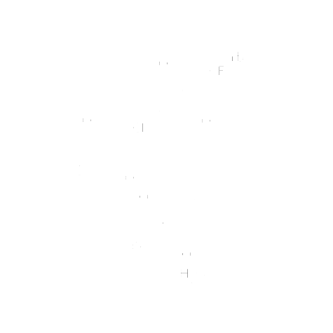 O.O=S(=O)([O-])C(F)(F)F.O=S(=O)([O-])C(F)(F)F.O=S(=O)([O-])C(F)(F)F.[Yb+3]